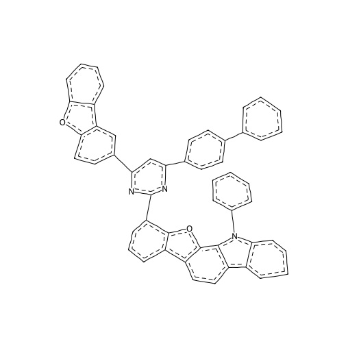 c1ccc(-c2ccc(-c3cc(-c4ccc5oc6ccccc6c5c4)nc(-c4cccc5c4oc4c5ccc5c6ccccc6n(-c6ccccc6)c54)n3)cc2)cc1